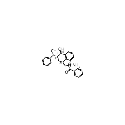 CC(c1ccccc1)[C@H]1C[C@@H]2C[N+](N)(C(=O)c3ccccc3)c3cccc(c32)[C@@H]1O